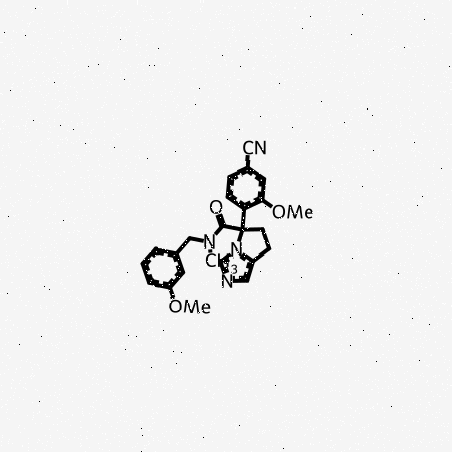 COc1cccc(CN(C)C(=O)C2(c3ccc(C#N)cc3OC)CCc3cncn32)c1